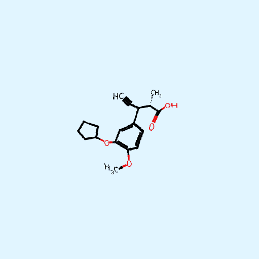 C#CC(c1ccc(OC)c(OC2CCCC2)c1)[C@H](C)C(=O)O